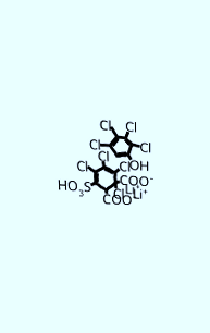 O=C([O-])C1C(S(=O)(=O)O)=C(Cl)C(Cl)=C(Cl)C1(Cl)C(=O)[O-].Oc1cc(Cl)c(Cl)c(Cl)c1Cl.[Li+].[Li+]